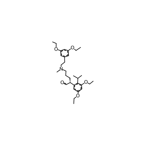 CCOc1cc(CCN(C)CCC[C@H](C=O)c2cc(OCC)cc(OCC)c2C(C)C)cc(OCC)c1